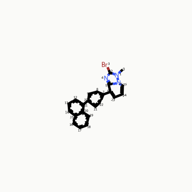 CN1C(Br)N=C2C(c3ccc(-c4cccc5ccccc45)cc3)=CC=CN21